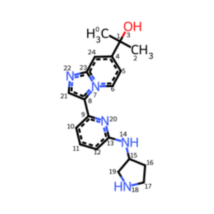 CC(C)(O)c1ccn2c(-c3cccc(NC4CCNC4)n3)cnc2c1